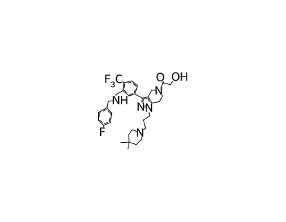 CC1(C)CCN(CCCn2nc(-c3ccc(C(F)(F)F)c(CNCc4ccc(F)cc4)c3)c3c2CCN(C(=O)CO)C3)CC1